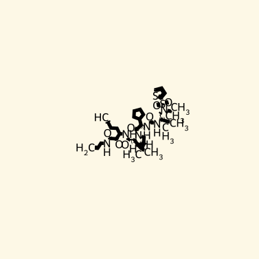 C#CCCC(NC(=O)[C@@H]1[C@@H]2[C@H](CN1C(=O)[C@@H](NC(=O)N[C@H](CN(CC)S(=O)(=O)c1cccs1)C(C)(C)C)C1CCCC1)C2(C)C)C(=O)C(=O)NCC=C